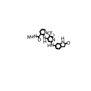 CNC(=O)c1cccnc1Nc1cc(Nc2ccc3c(c2)NC(=O)C3)ncc1C(F)(F)F